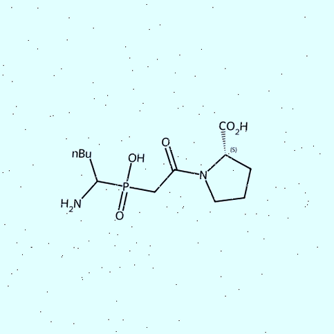 CCCCC(N)P(=O)(O)CC(=O)N1CCC[C@H]1C(=O)O